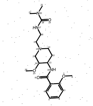 COc1ccccc1C(=O)NC1CCN(CCNC(=O)N(C)C)CC1OC